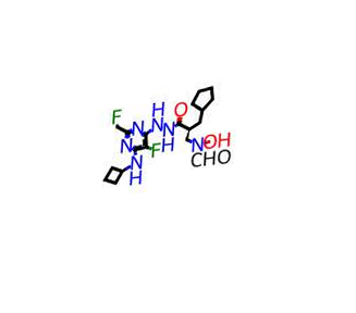 O=CN(O)C[C@H](CC1CCCC1)C(=O)NNc1nc(CF)nc(NC2CCC2)c1F